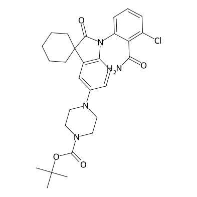 CC(C)(C)OC(=O)N1CCN(c2ccc3c(c2)C2(CCCCC2)C(=O)N3c2cccc(Cl)c2C(N)=O)CC1